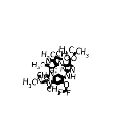 Cc1ccc2c(n1)C(C)(C)CN2c1nc(Nc2cc([N+](=O)[O-])c(N(C)CCN(C)C)cc2OC(F)F)ncc1C(=O)OC(C)C